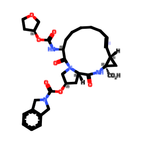 O=C(N[C@H]1CCCCC/C=C/[C@@H]2C[C@@]2(C(=O)O)NC(=O)[C@@H]2C[C@@H](OC(=O)N3Cc4ccccc4C3)CN2C1=O)O[C@H]1CCOC1